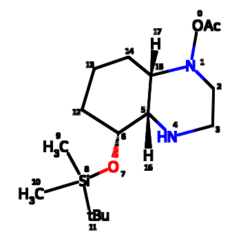 CC(=O)ON1CCN[C@@H]2[C@H](O[Si](C)(C)C(C)(C)C)CCC[C@@H]21